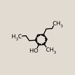 CCCc1cc(C)c(O)c(CCC)c1